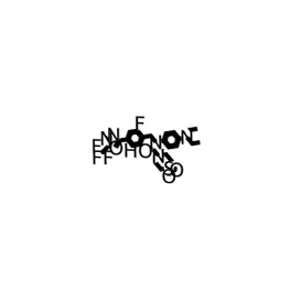 CCN(CC)c1ccc(N(Cc2ccc(-c3nnc(C(F)(F)F)o3)cc2F)C(O)N2CCS(=O)(=O)CC2)cc1